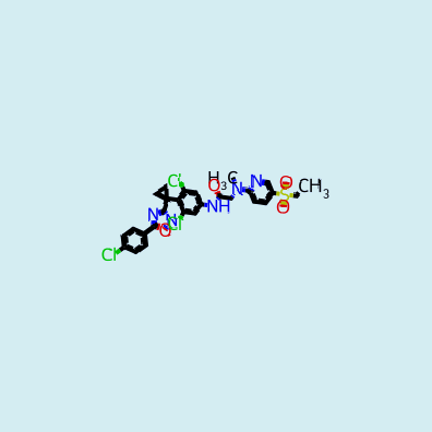 CCS(=O)(=O)c1ccc(N(C)CC(=O)Nc2cc(Cl)c(C3(c4noc(-c5ccc(Cl)cc5)n4)CC3)c(Cl)c2)nc1